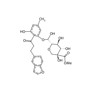 COC(=O)[C@]1(O)CO[C@H](C(O)Oc2cc(C)cc(O)c2C(=O)CCc2ccc3occc3c2)[C@@H](O)[C@@H]1O